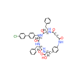 O=C1CCC(=O)N[C@H](CCc2ccccc2)C(=O)N[C@@H](Cc2ccc(-c3ccc(Cl)cc3)cc2)C(=O)N[C@H](Cc2ccccc2)C(=O)N[C@H](C(=O)O)Cc2ccc(cc2)N1